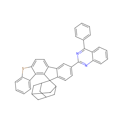 c1ccc(-c2nc(-c3ccc4c(c3)-c3ccc5sc6ccccc6c5c3C43C4CC5CC(C4)CC3C5)nc3ccccc23)cc1